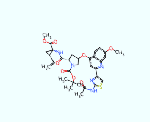 C=C[C@H]1C[C@]1(NC(=O)[C@@H]1CC(Oc2cc(-c3csc(NC(C)=O)n3)nc3cc(OC)ccc23)CN1C(=O)OC(C)(C)C)C(=O)OC